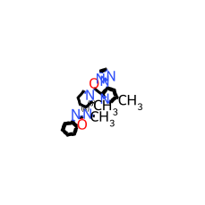 Cc1cnc(C(=O)N2CCC[C@@H](N(C)c3nc4ccccc4o3)[C@@H]2C)c(-n2nccn2)c1